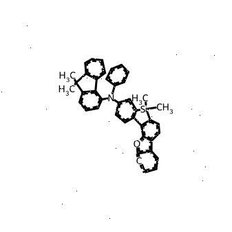 CC1(C)c2ccccc2-c2c(N(c3ccccc3)c3ccc4c(c3)[Si](C)(C)c3ccc5c(oc6ccccc65)c3-4)cccc21